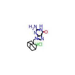 Cl.Nc1nc2c(ncn2CC23CC4CC(CC(C4)C2)C3)c(=O)[nH]1